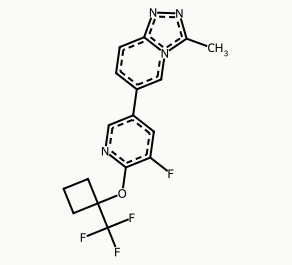 Cc1nnc2ccc(-c3cnc(OC4(C(F)(F)F)CCC4)c(F)c3)cn12